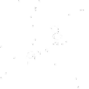 Fc1cccc(N2CCN(CCNc3ccc4ccccc4n3)CC2)n1